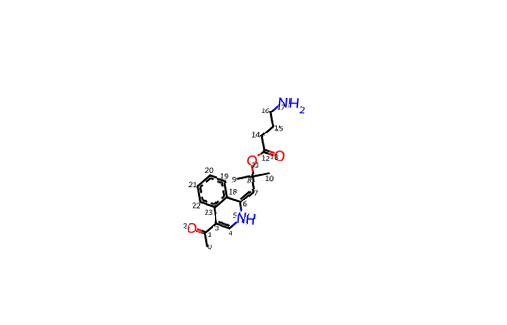 CC(=O)C1=CN/C(=C/C(C)(C)OC(=O)CCCN)c2ccccc21